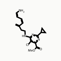 C=C(/C=C\C=C/N)CCNc1nc(C2CC2)nc(C(=O)OC)c1Cl